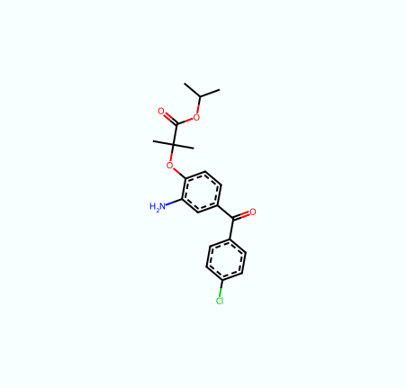 CC(C)OC(=O)C(C)(C)Oc1ccc(C(=O)c2ccc(Cl)cc2)cc1N